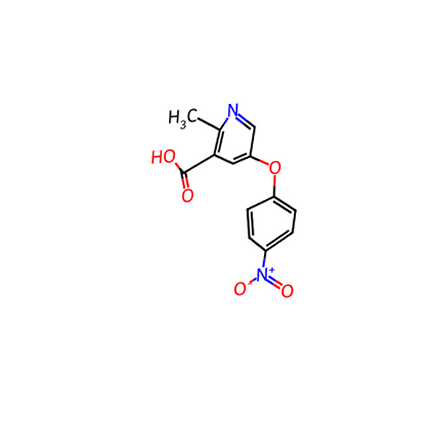 Cc1ncc(Oc2ccc([N+](=O)[O-])cc2)cc1C(=O)O